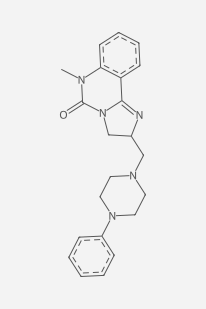 CN1C(=O)N2CC(CN3CCN(c4ccccc4)CC3)N=C2c2ccccc21